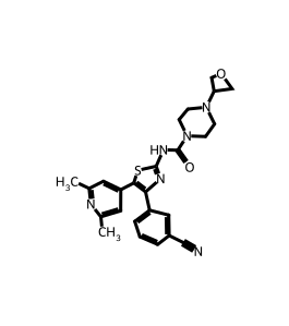 Cc1cc(-c2sc(NC(=O)N3CCN(C4COC4)CC3)nc2-c2cccc(C#N)c2)cc(C)n1